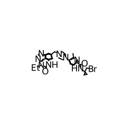 CCN1C(=O)Nc2cc(CN3CCN(c4ccc(C(=O)NC5(CBr)CC5)nc4C)CC3)cc3ncnc1c23